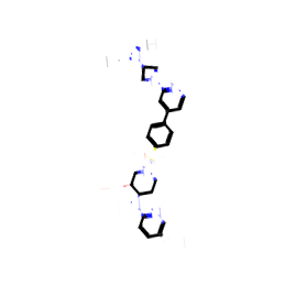 Cc1ccc(N[C@@H]2CCN(S(=O)(=O)c3ccc(-c4ccnc(N5CC(N(C)C)C5)c4)cc3)C[C@@H]2O)nc1